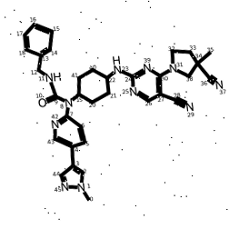 Cn1cc(-c2ccc(N(C(=O)NCc3ccccc3)C3CCC(Nc4ncc(C#N)c(N5CCC(C)(C#N)C5)n4)CC3)nc2)cn1